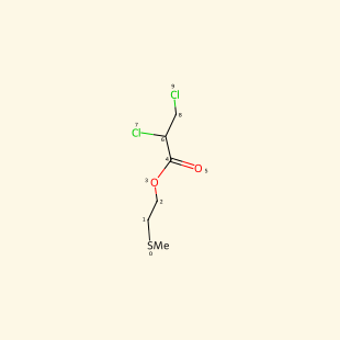 CSCCOC(=O)C(Cl)CCl